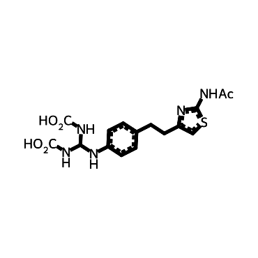 CC(=O)Nc1nc(CCc2ccc(NC(NC(=O)O)NC(=O)O)cc2)cs1